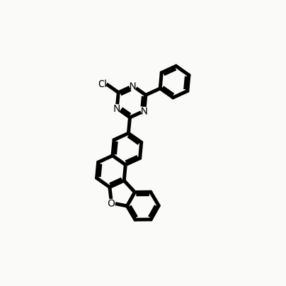 Clc1nc(-c2ccccc2)nc(-c2ccc3c(ccc4oc5ccccc5c43)c2)n1